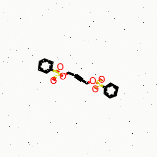 O=S(=O)(OCC#CCOS(=O)(=O)c1ccccc1)c1ccccc1